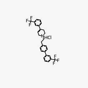 Cl.FC(F)(F)c1cccc(C2=CCN(CCc3ccc(-c4cccc(C(F)(F)F)c4)cc3)CC2)c1